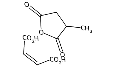 CC1CC(=O)OC1=O.O=C(O)/C=C\C(=O)O